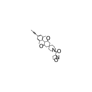 CC#Cc1cc(C)c(C2C(=O)CC3(CCN(C(=O)C4=NOCC4)CC3)CC2=O)c(C)c1